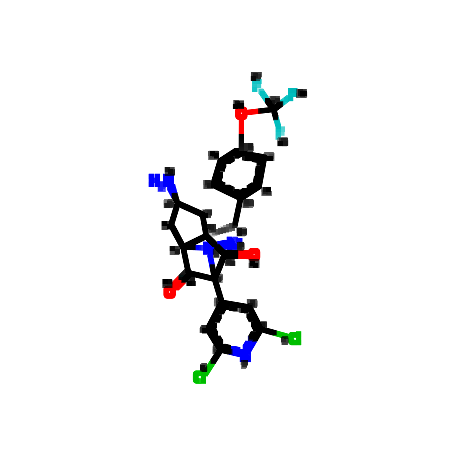 [N-]=[N+]1C2(c3cc(Cl)nc(Cl)c3)C(=O)C13C[C@@H](N)C[C@@]3(Cc1ccc(OC(F)(F)F)cc1)C2=O